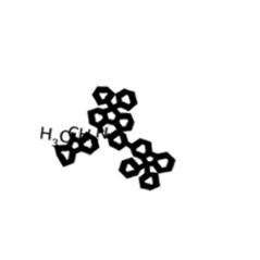 CC1(C)c2ccccc2-c2ccc(N(c3ccc(-c4ccc5c(c4)C(c4ccccc4)(c4ccccc4)c4ccccc4-5)cc3)c3cccc4c3-c3ccccc3C4(c3ccccc3)c3ccccc3)cc21